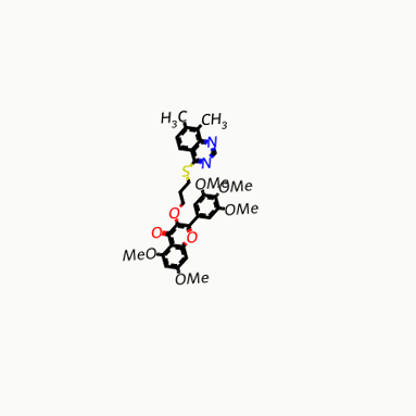 COc1cc(OC)c2c(=O)c(OCCCSc3ncnc4c(C)c(C)ccc34)c(-c3cc(OC)c(OC)c(OC)c3)oc2c1